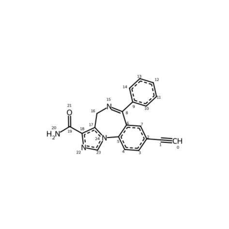 C#Cc1ccc2c(c1)C(c1ccccc1)=NCc1c(C(N)=O)ncn1-2